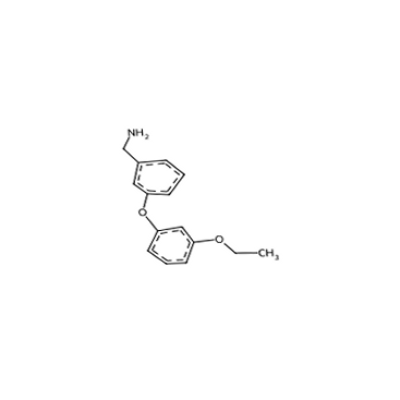 CCOc1cccc(Oc2cccc(CN)c2)c1